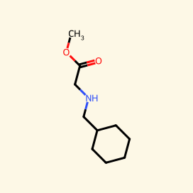 COC(=O)CNCC1CCCCC1